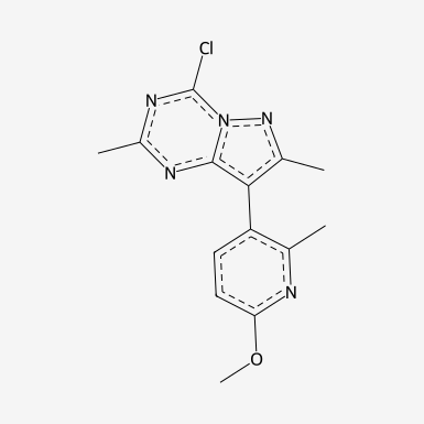 COc1ccc(-c2c(C)nn3c(Cl)nc(C)nc23)c(C)n1